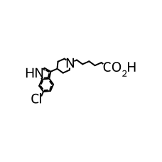 O=C(O)CCCCCN1CCC(c2c[nH]c3cc(Cl)ccc23)CC1